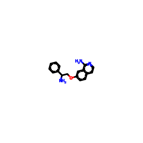 Nc1nccc2ccc(OCC(N)c3ccccc3)cc12